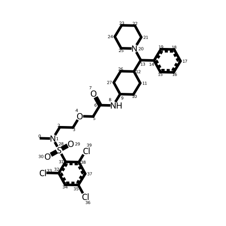 CN(CCOCC(=O)NC1CCC(C(c2ccccc2)N2CCCCC2)CC1)S(=O)(=O)c1c(Cl)cc(Cl)cc1Cl